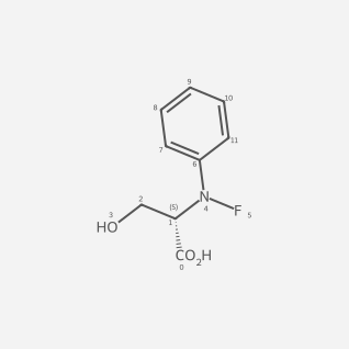 O=C(O)[C@H](CO)N(F)c1ccccc1